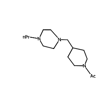 CCCN1CCN(CC2CCN(C(C)=O)CC2)CC1